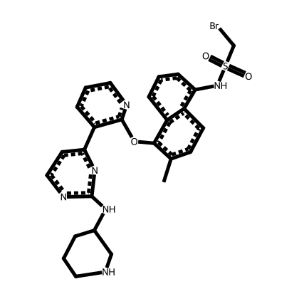 Cc1ccc2c(NS(=O)(=O)CBr)cccc2c1Oc1ncccc1-c1ccnc(NC2CCCNC2)n1